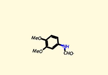 COc1ccc(N[C]=O)cc1OC